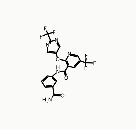 NC(=O)c1cccc(NC(=O)c2cc(C(F)(F)F)cnc2Oc2cnc(C(F)(F)F)nc2)c1